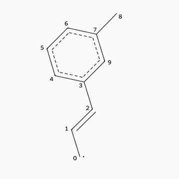 [CH2]/C=C/c1cccc(C)c1